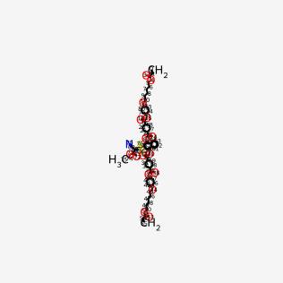 C=CC(=O)OCCCCCCOC1CCC(OC(=O)C2CCC(C(=O)Oc3c4c(c(OC(=O)C5CCC(C(=O)OC6CCC(OCCCCCCOC(=O)C=C)CC6)CC5)c5ccccc35)SC(=C(C#N)C(=O)OCC)S4)CC2)CC1